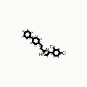 Clc1ccc(-c2c[nH]c(C=Cc3ccc(-c4ccccc4)cc3)n2)c(Cl)c1